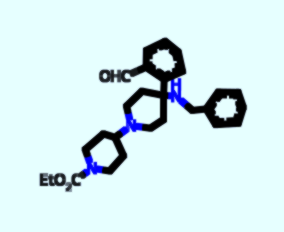 CCOC(=O)N1CCC(N2CCC(NCc3ccccc3)(c3ccccc3C=O)CC2)CC1